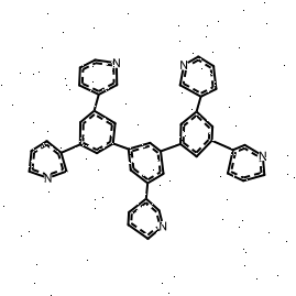 c1cncc(-c2cc(-c3cccnc3)cc(-c3cc(-c4cccnc4)cc(-c4cc(-c5cccnc5)cc(-c5cccnc5)c4)c3)c2)c1